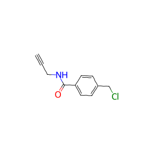 C#CCNC(=O)c1ccc(CCl)cc1